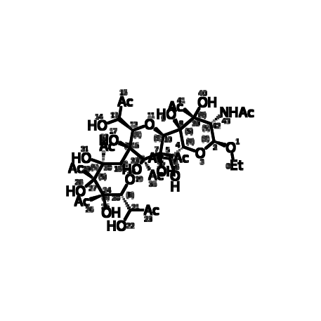 CCO[C@H]1O[C@H](C(O)C(C)=O)[C@](O)([C@@H]2O[C@H](C(O)C(C)=O)[C@@](O)([C@@H]3O[C@H](C(O)C(C)=O)[C@@](O)(C(C)=O)[C@@](O)(C(C)=O)[C@]3(O)C(C)=O)[C@@](O)(C(C)=O)[C@]2(O)C(C)=O)[C@@](O)(C(C)=O)[C@@H]1NC(C)=O